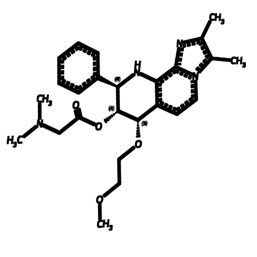 COCCO[C@H]1c2ccn3c(C)c(C)nc3c2N[C@H](c2ccccc2)[C@H]1OC(=O)CN(C)C